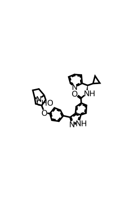 O=CN1C2CCC1CC(Oc1ccc(-c3n[nH]c4ccc(C(=O)N[C@@H](c5ccccn5)C5CC5)cc34)cc1)C2